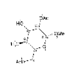 CO[C@@H]1OC(COC(C)=O)[C@@H](C)C(O)C1OC(C)=O